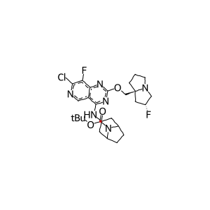 CC(C)(C)OC(=O)N1C2CCC1CC(Nc1nc(OC[C@@]34CCCN3C[C@H](F)C4)nc3c(F)c(Cl)ncc13)C2